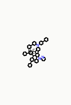 CC1(C)c2cc(N(c3ccc(-c4ccccc4)cc3)c3cccc(-c4ccccc4)c3)ccc2-c2cc3c(c(C(c4ccc(-c5ccccc5)cc4)c4cccc(-c5ccccc5)c4)c21)c1ccccc1n3-c1ccccn1